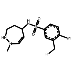 CC(C)Cc1cc(S(=O)(=O)NC2C=CN(C)NCC2)ccc1C(C)C